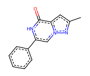 Cc1cc2c(=O)[nH]c(-c3ccccc3)cn2n1